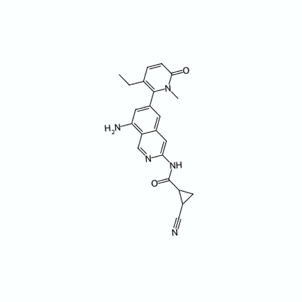 CCc1ccc(=O)n(C)c1-c1cc(N)c2cnc(NC(=O)C3CC3C#N)cc2c1